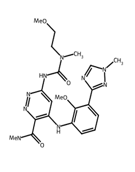 CNC(=O)c1nnc(NC(=O)N(C)CCOC)cc1Nc1cccc(-c2ncn(C)n2)c1OC